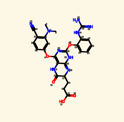 CN(C)c1cc(OC2=C3NC(=O)C(CCC(=O)O)N=C3NC(Oc3ccccc3NC(=N)N)=N2)ccc1C#N